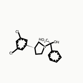 O=C(O)[C@](O)(c1ccccc1)N1CC[C@H](c2cc(Cl)cc(Cl)c2)C1